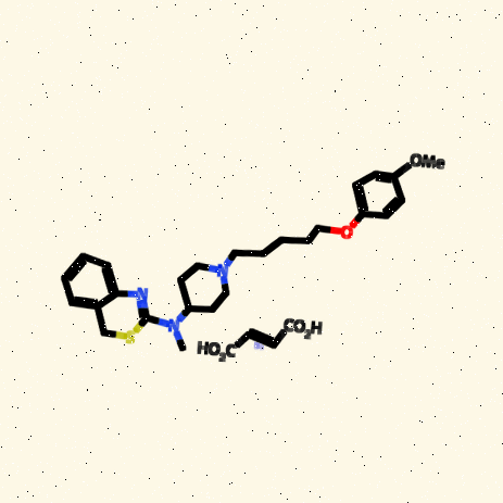 COc1ccc(OCCCCCN2CCC(N(C)C3=Nc4ccccc4CS3)CC2)cc1.O=C(O)/C=C/C(=O)O